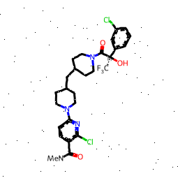 CNC(=O)c1ccc(N2CCC(CC3CCN(C(=O)[C@](O)(c4cccc(Cl)c4)C(F)(F)F)CC3)CC2)nc1Cl